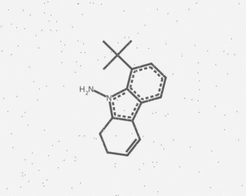 CC(C)(C)c1cccc2c3c(n(N)c12)CCC=C3